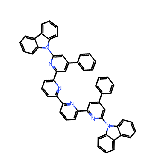 c1ccc(-c2cc(-c3cccc(-c4cccc(-c5cc(-c6ccccc6)cc(-n6c7ccccc7c7ccccc76)n5)n4)n3)nc(-n3c4ccccc4c4ccccc43)c2)cc1